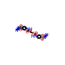 [N-]=[N+]=NS(=O)(=O)c1ccc(NC(=O)OCCOC(=O)Nc2ccc(S(=O)(=O)N=[N+]=[N-])cc2)cc1